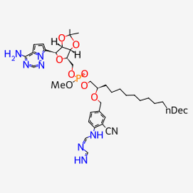 CCCCCCCCCCCCCCCCCCC[C@H](COP(=O)(OC)OC[C@H]1O[C@@H](c2ccc3c(N)ncnn23)[C@@H]2OC(C)(C)O[C@@H]21)OCc1ccc(N/C=N\C=N)c(C#N)c1